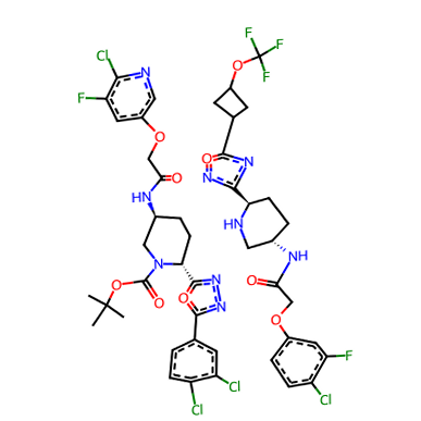 CC(C)(C)OC(=O)N1C[C@@H](NC(=O)COc2cnc(Cl)c(F)c2)CC[C@@H]1c1nnc(-c2ccc(Cl)c(Cl)c2)o1.O=C(COc1ccc(Cl)c(F)c1)N[C@H]1CC[C@H](c2noc(C3CC(OC(F)(F)F)C3)n2)NC1